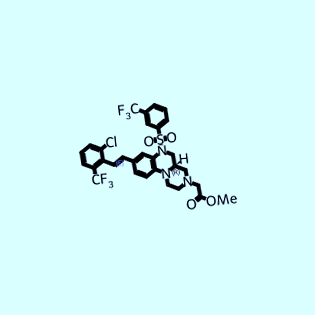 COC(=O)CN1CCN2c3ccc(/C=C/c4c(Cl)cccc4C(F)(F)F)cc3N(S(=O)(=O)c3cccc(C(F)(F)F)c3)C[C@H]2C1